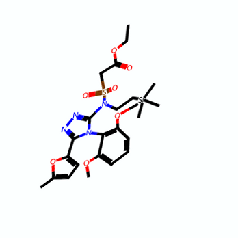 CCOC(=O)CS(=O)(=O)N(CC[Si](C)(C)C)c1nnc(-c2ccc(C)o2)n1-c1c(OC)cccc1OC